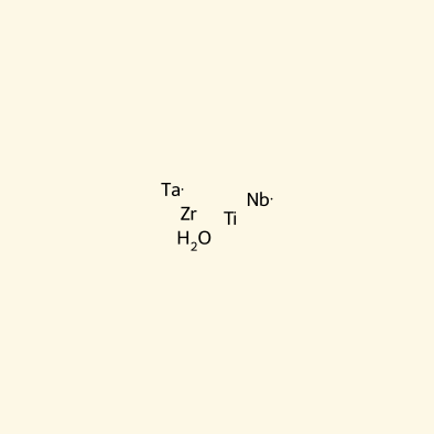 O.[Nb].[Ta].[Ti].[Zr]